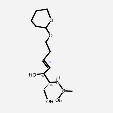 CB(O)N[C@H](CO)[C@@H](O)/C=C/CCOC1CCCCO1